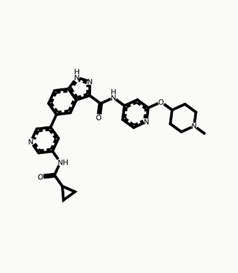 CN1CCC(Oc2cc(NC(=O)c3n[nH]c4ccc(-c5cncc(NC(=O)C6CC6)c5)cc34)ccn2)CC1